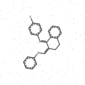 Fc1ccc(N=C2C(=CSc3ccccc3)CCc3ccccc32)cc1